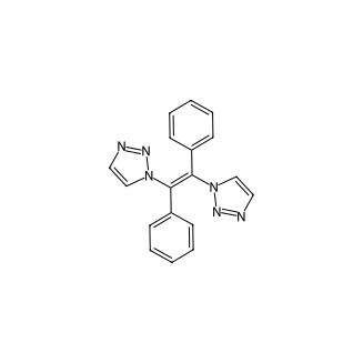 c1ccc(C(=C(c2ccccc2)n2ccnn2)n2ccnn2)cc1